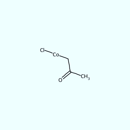 CC(=O)[CH2][Co][Cl]